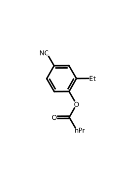 CCCC(=O)Oc1ccc(C#N)cc1CC